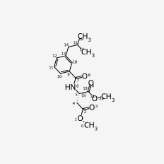 COC(=O)C[C@H](NC(=O)c1cccc(CC(C)C)c1)C(=O)OC